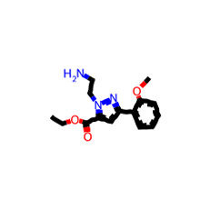 CCOC(=O)c1cc(-c2ccccc2OC)nn1CCN